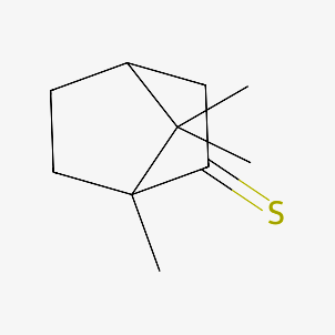 CC12CCC(CC1=S)C2(C)C